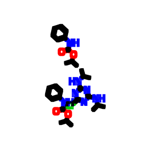 CC(C)Nc1nc(Cl)nc(NC(C)C)n1.CC(C)OC(=O)Nc1ccccc1.CC(C)OC(=O)Nc1ccccc1